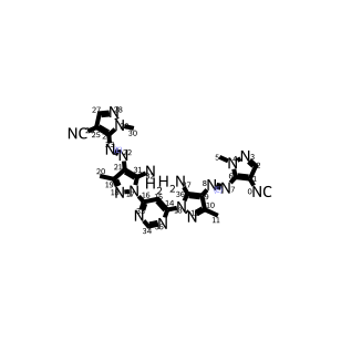 [C-]#[N+]c1cnn(C)c1/N=N/c1c(C)nn(-c2cc(-n3nc(C)c(/N=N/c4c(C#N)cnn4C)c3N)ncn2)c1N